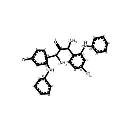 CC(C(=O)C(C)c1ccc(Cl)cc1Nc1ccccc1)c1ccc(Cl)cc1Nc1ccccc1